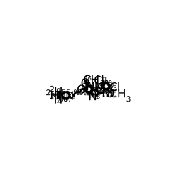 [2H]C([2H])([2H])N1CCN(CCCOc2cc3ncc(C#N)c(Nc4cc(OC)c(Cl)cc4Cl)c3cc2OC)CC1